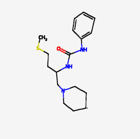 CSCCC(CN1CC[CH]CC1)NC(=O)Nc1ccccc1